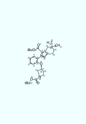 CC(C)COC(=O)c1c2c(nn1-c1ccccc1O[C@H]1CCN(C(=O)OC(C)(C)C)C1)CCC(C)(C)C2